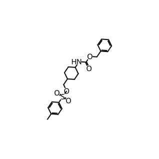 Cc1ccc(S(=O)(=O)OCC2CCC(NC(=O)OCc3ccccc3)CC2)cc1